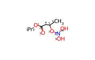 CC(C)OC(=O)CC(C)ON(O)O